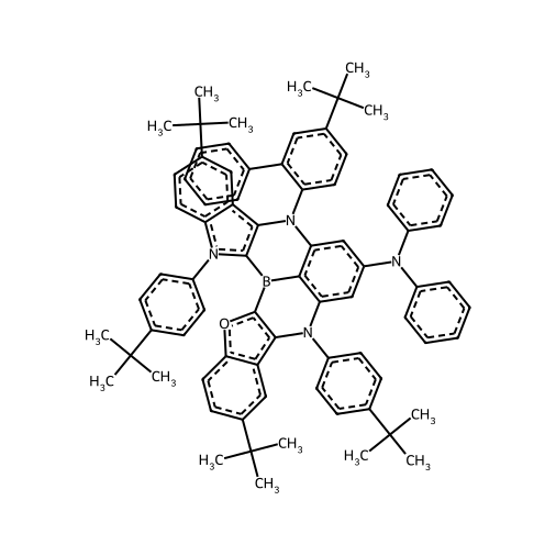 CC(C)(C)c1ccc(N2c3cc(N(c4ccccc4)c4ccccc4)cc4c3B(c3oc5ccc(C(C)(C)C)cc5c32)c2c(c3cc(C(C)(C)C)ccc3n2-c2ccc(C(C)(C)C)cc2)N4c2ccc(C(C)(C)C)cc2-c2ccccc2)cc1